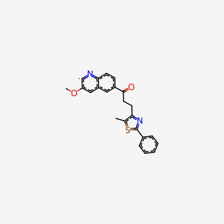 COc1[c]nc2ccc(C(=O)CCc3nc(-c4ccccc4)sc3C)cc2c1